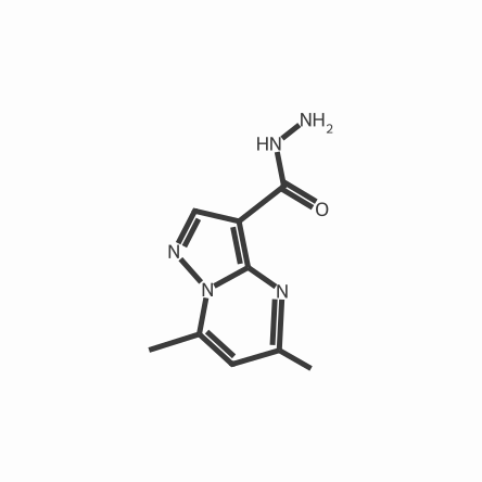 Cc1cc(C)n2ncc(C(=O)NN)c2n1